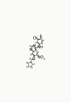 O=[N+]([O-])c1cc2c(Nc3ccc(F)c(Cl)c3)ncnc2cc1OCC1CCCC1